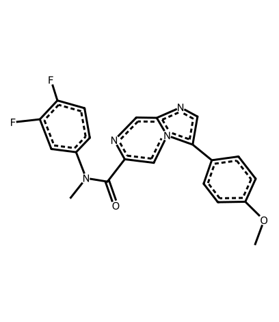 COc1ccc(-c2cnc3cnc(C(=O)N(C)c4ccc(F)c(F)c4)cn23)cc1